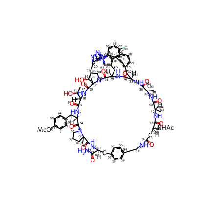 COc1ccc(C[C@@H]2NC(=O)[C@H]([C@H](C)O)NC(=O)C34CCc5cn(nn5)Cc5cccc(c5)C[C@H](NC(=O)[C@@H](C)NC(=O)[C@H](C)NC(=O)[C@@H](NC(C)=O)CC(=O)NCc5ccc(cc5)C[C@@H](C(N)=O)NC(=O)[C@]5(C)CCCN5C2=O)C(=O)N[C@@H](Cc2c[nH]c5ccc(F)cc25)C(=O)N3CC[C@@H]4O)cc1